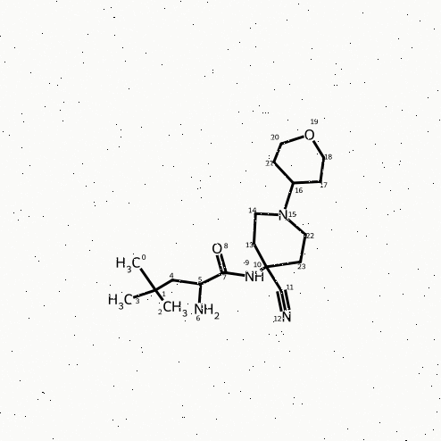 CC(C)(C)CC(N)C(=O)NC1(C#N)CCN(C2CCOCC2)CC1